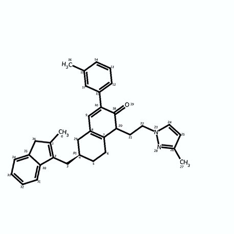 CC1=C(C[C@@H]2CCC3=C(C=C(c4cccc(C)c4)C(=O)C3CCn3ccc(C)n3)C2)c2ccccc2C1